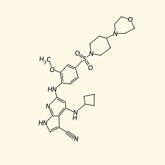 COc1cc(S(=O)(=O)N2CCC(N3CCOCC3)CC2)ccc1Nc1cc(NC2CCC2)c2c(C#N)c[nH]c2n1